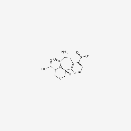 N[C@@H]1Cc2c(cccc2[N+](=O)[O-])[C@@H]2CSC[C@H](C(=O)O)N2C1=O